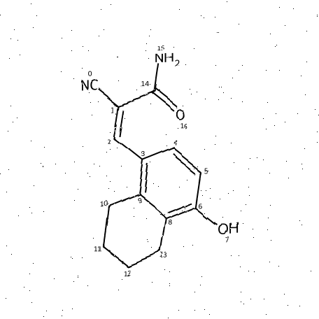 N#CC(=Cc1ccc(O)c2c1CCCC2)C(N)=O